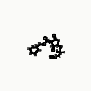 CC(C)(C)CC(C)(C)SC1CC(=O)N(C(=O)OCc2ccccc2)C1=O